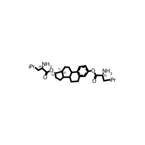 CC(C)C[C@@H](N)C(=O)O[C@H]1CCC2C3CCc4cc(OC(=O)[C@@H](N)CC(C)C)ccc4C3CC[C@@]21C